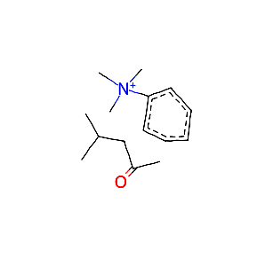 CC(=O)CC(C)C.C[N+](C)(C)c1ccccc1